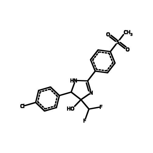 CS(=O)(=O)c1ccc(C2=NC(O)(C(F)F)C(c3ccc(Cl)cc3)N2)cc1